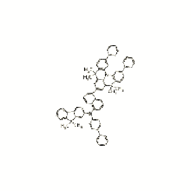 CC1(C)c2ccccc2-c2ccc(N(c3ccc(-c4ccccc4)cc3)c3cccc4c(-c5cc6c7c(c5)C(C)(C)c5ccc(-c8ccccc8)cc5N7c5cc(-c7ccccc7)ccc5C6(C)C)cccc34)cc21